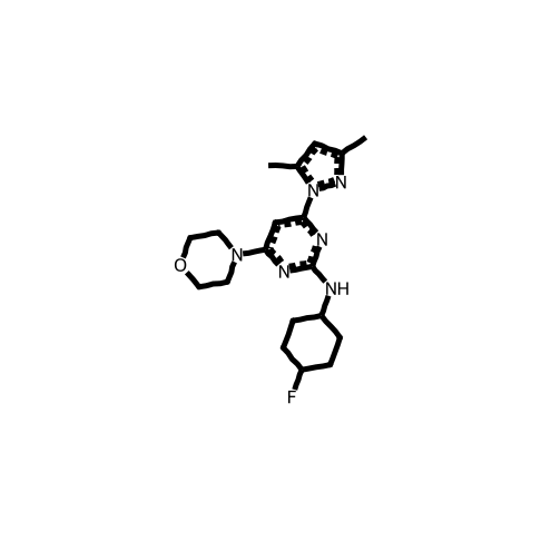 Cc1cc(C)n(-c2cc(N3CCOCC3)nc(NC3CCC(F)CC3)n2)n1